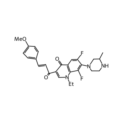 CCn1cc(C(=O)/C=C/c2ccc(OC)cc2)c(=O)c2cc(F)c(N3CCNC(C)C3)c(F)c21